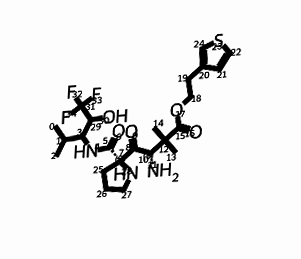 CC(C)C(NC(=O)[C@@]1(C(=O)[C@@H](N)C(C)(C)C(=O)OCCc2ccsc2)CCCN1)C(O)C(F)(F)F